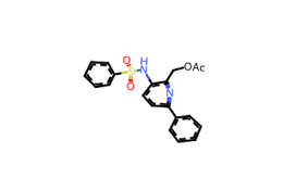 CC(=O)OCc1nc(-c2ccccc2)ccc1NS(=O)(=O)c1ccccc1